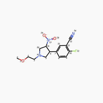 COCCN1CC(c2ccc(F)c(C#N)c2)C([N+](=O)[O-])C1